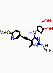 COc1ccc(C#Cc2c(C)nc(NCC(F)(F)F)nc2N[C@@H]2C[C@H](CO)[C@@H](O)C2)cn1